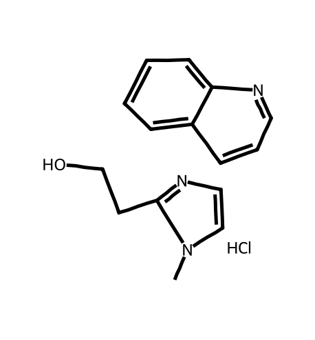 Cl.Cn1ccnc1CCO.c1ccc2ncccc2c1